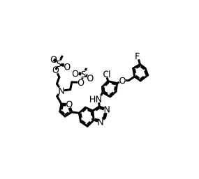 CS(=O)(=O)OCCN(CCOS(C)(=O)=O)Cc1ccc(-c2ccc3ncnc(Nc4ccc(OCc5cccc(F)c5)c(Cl)c4)c3c2)o1